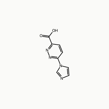 O=C(O)c1ccc(-n2ccnc2)nn1